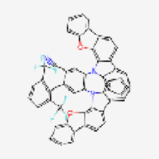 N#Cc1cc(-n2c3ccccc3c3ccc4c5ccccc5oc4c32)c(-n2c3ccccc3c3ccc4c5ccccc5oc4c32)cc1-c1c(C(F)(F)F)cccc1C(F)(F)F